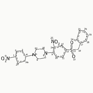 O=[N+]([O-])c1ccc(N2CCN(c3ccc(S(=O)(=O)Cc4ccccc4)cc3[N+](=O)[O-])CC2)cc1